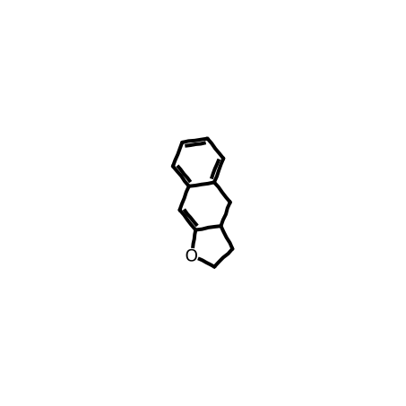 C1=C2OCCC2Cc2ccccc21